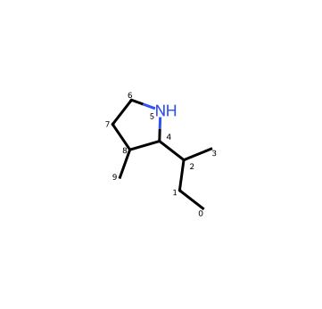 CCC(C)C1NCCC1C